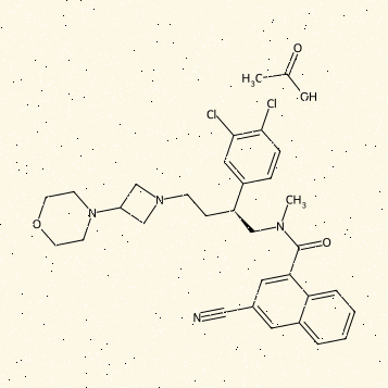 CC(=O)O.CN(C[C@@H](CCN1CC(N2CCOCC2)C1)c1ccc(Cl)c(Cl)c1)C(=O)c1cc(C#N)cc2ccccc12